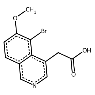 COc1ccc2cncc(CC(=O)O)c2c1Br